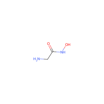 NCC(=O)NO